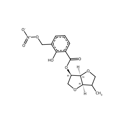 CC1CO[C@H]2[C@@H]1OC[C@H]2OC(=O)c1cccc(CO[N+](=O)[O-])c1O